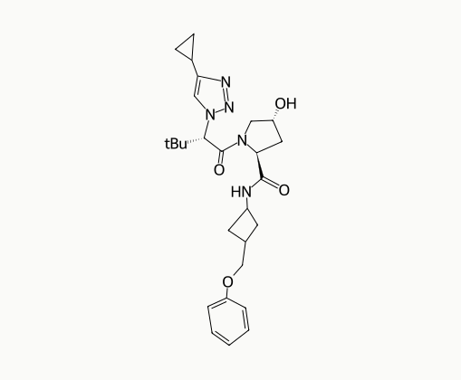 CC(C)(C)[C@@H](C(=O)N1C[C@H](O)C[C@H]1C(=O)NC1CC(COc2ccccc2)C1)n1cc(C2CC2)nn1